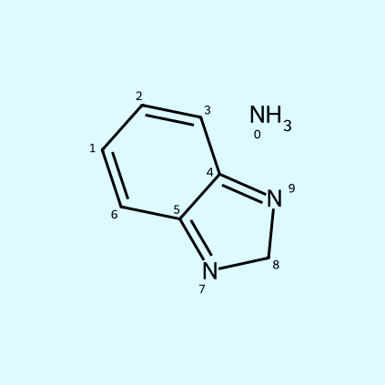 N.c1ccc2c(c1)=NCN=2